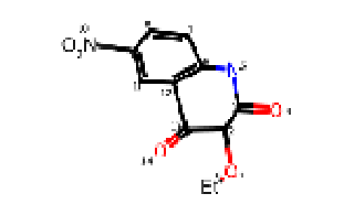 CCOC1C(=O)[N]c2ccc([N+](=O)[O-])cc2C1=O